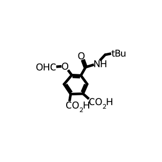 CC(C)(C)CNC(=O)c1cc(C(=O)O)c(C(=O)O)cc1OC=O